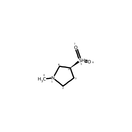 CN1CC[C@H]([SH](=O)=O)C1